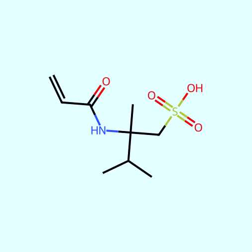 C=CC(=O)NC(C)(CS(=O)(=O)O)C(C)C